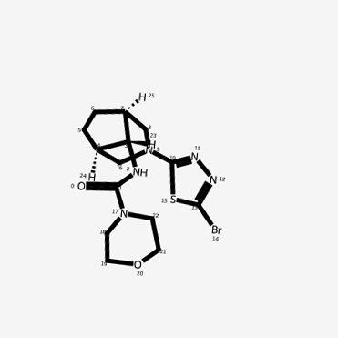 O=C(N[C@@H]1[C@@H]2CC[C@H]1CN(c1nnc(Br)s1)C2)N1CCOCC1